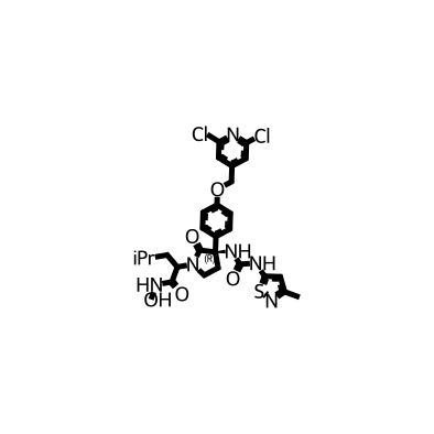 Cc1cc(NC(=O)N[C@@]2(c3ccc(OCc4cc(Cl)nc(Cl)c4)cc3)CCN(C(CC(C)C)C(=O)NO)C2=O)sn1